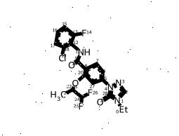 CCn1cnn(-c2ccc(C(=O)Nc3c(F)cccc3Cl)c(OC(C)C(F)F)c2)c1=O